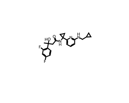 CC(O)(CC(=O)NC1(c2cccc(NCC3CC3)n2)CC1)c1ccc(F)cc1F